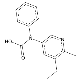 CCc1cc(N(C(=O)O)c2ccccc2)cnc1C